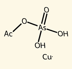 CC(=O)O[As](=O)(O)O.[Cu]